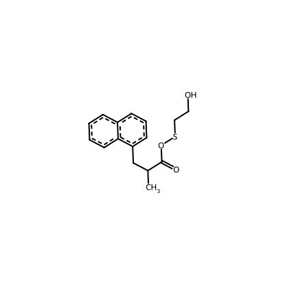 CC(Cc1cccc2ccccc12)C(=O)OSCCO